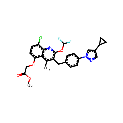 Cc1c(Cc2ccc(-n3cc(C4CC4)cn3)cc2)c(OC(F)F)nc2c(Cl)ccc(OCC(=O)OC(C)(C)C)c12